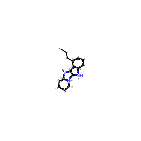 CCCc1cccc2[nH]c3c(nc4ccccn43)c12